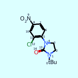 CC(C)(C)N1CCN(c2ccc([N+](=O)[O-])cc2Cl)C1=O